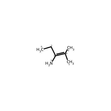 CCC(N)=C(C)C